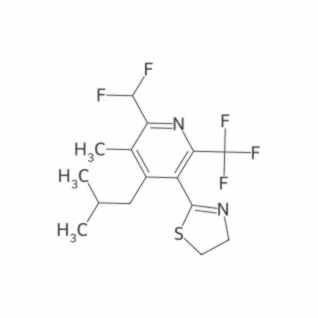 Cc1c(C(F)F)nc(C(F)(F)F)c(C2=NCCS2)c1CC(C)C